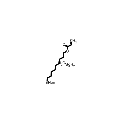 C=CC(=O)OCCCCCCCCCCCCCCCCCC.O.[MgH2]